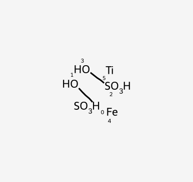 O=S(=O)(O)O.O=S(=O)(O)O.[Fe].[Ti]